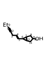 CCC#CCC=CC1C2CC(O)CC12